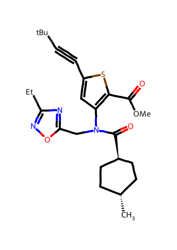 CCc1noc(CN(c2cc(C#CC(C)(C)C)sc2C(=O)OC)C(=O)[C@H]2CC[C@H](C)CC2)n1